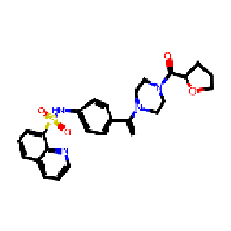 C=C(c1ccc(NS(=O)(=O)c2cccc3cccnc23)cc1)N1CCN(C(=O)C2CCCO2)CC1